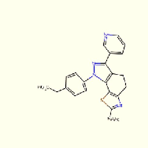 CC(=O)Nc1nc2c(s1)-c1c(c(-c3cccnc3)nn1-c1ccc(CC(=O)O)cc1)CC2